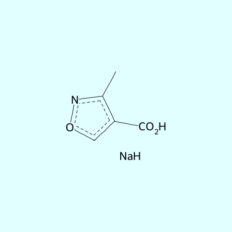 Cc1nocc1C(=O)O.[NaH]